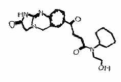 O=C1CN2Cc3cc(C(=O)CCC(=O)N(CCO)C4CCCCC4)ccc3N=C2N1